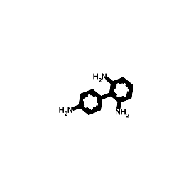 Nc1ccc(-c2c(N)cccc2N)cc1